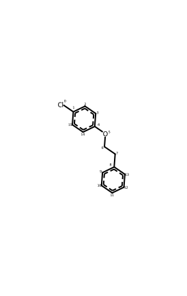 Clc1ccc(OCCc2ccccc2)cc1